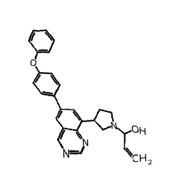 C=CC(O)N1CCC(c2cc(-c3ccc(Oc4ccccc4)cc3)cc3cncnc23)C1